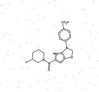 O=C(O)c1ccc(N2COc3cc(C(=O)N4CCCC(F)C4)[nH]c32)cc1